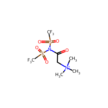 C[N+](C)(C)CC(=O)N(S(=O)(=O)C(F)(F)F)S(=O)(=O)C(F)(F)F